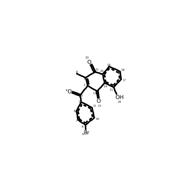 CC1=C(C(=O)c2ccc(Br)cc2)C(=O)c2c(O)cccc2C1=O